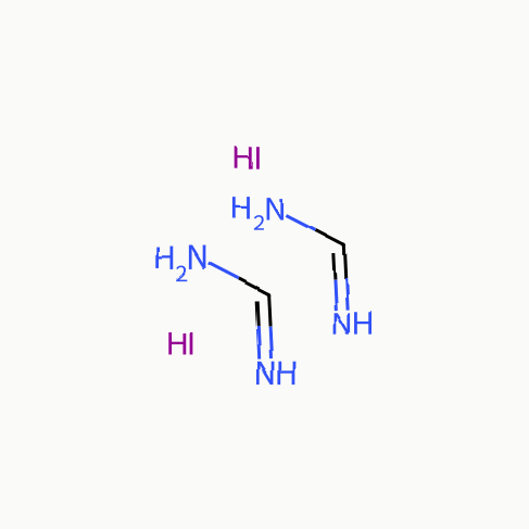 I.I.N=CN.N=CN